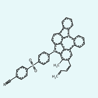 C=C/C=C\c1cc2c3ccccc3n3c4ccccc4c4ccc5c(c2c(c1C)n5-c1ccc(S(=O)(=O)c2ccc(C#N)cc2)cc1)c43